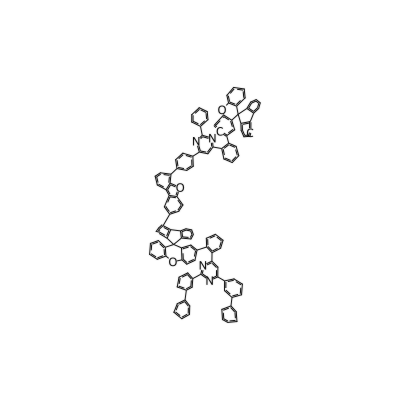 c1ccc(-c2cccc(-c3cc(-c4ccccc4-c4ccc5c(c4)C4(c6ccccc6O5)c5ccccc5-c5c(-c6ccc7oc8c(-c9ccc(-c%10cc(-c%11ccccc%11-c%11ccc%12c(c%11)C%11(c%13ccccc%13O%12)c%12ccccc%12-c%12ccccc%12%11)nc(-c%11ccccc%11)n%10)cc9)cccc8c7c6)cccc54)nc(-c4cccc(-c5ccccc5)c4)n3)c2)cc1